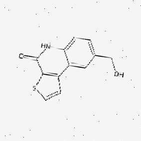 O=c1[nH]c2ccc(CO)cc2c2ccsc12